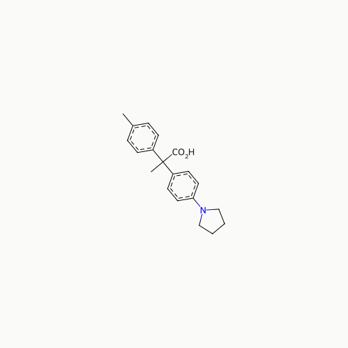 Cc1ccc(C(C)(C(=O)O)c2ccc(N3CCCC3)cc2)cc1